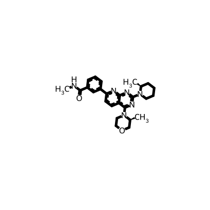 CNC(=O)c1cccc(-c2ccc3c(N4CCOC[C@@H]4C)nc(N4CCCC[C@@H]4C)nc3n2)c1